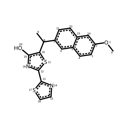 COc1ccc2cc(C(C)c3sc(-c4nccs4)nc3O)ccc2c1